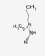 CCCC/N=C(/NC#N)SC